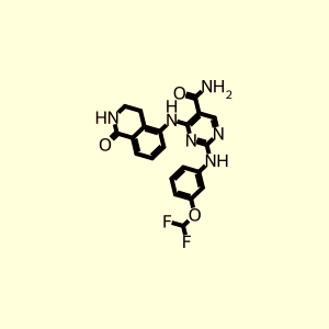 NC(=O)c1cnc(Nc2cccc(OC(F)F)c2)nc1Nc1cccc2c1CCNC2=O